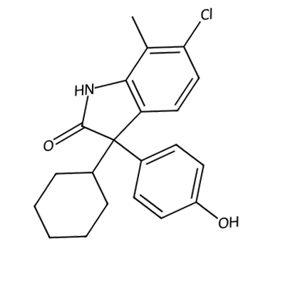 Cc1c(Cl)ccc2c1NC(=O)C2(c1ccc(O)cc1)C1CCCCC1